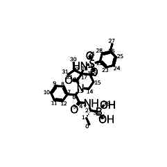 CC[C@H](NC(=O)C(c1ccccc1)N1CCCC(NS(=O)(=O)c2cccc(C)c2)(C(C)C)C1=O)B(O)O